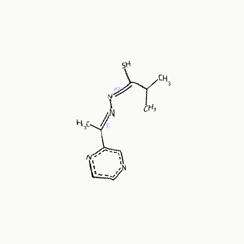 C/C(=N\N=C(\S)C(C)C)c1cnccn1